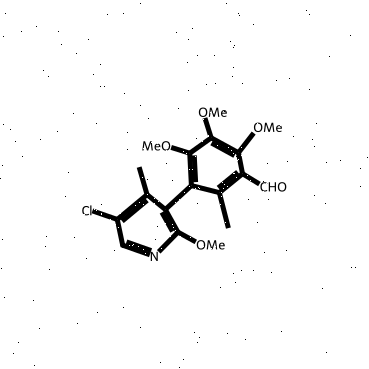 COc1ncc(Cl)c(C)c1-c1c(C)c(C=O)c(OC)c(OC)c1OC